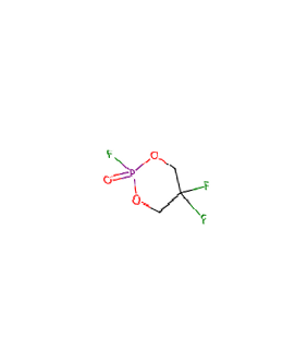 O=P1(F)OCC(F)(F)CO1